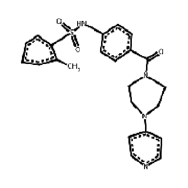 Cc1ccccc1S(=O)(=O)Nc1ccc(C(=O)N2CCN(c3ccncc3)CC2)cc1